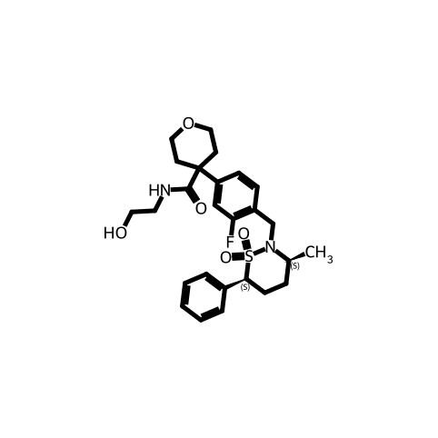 C[C@H]1CC[C@@H](c2ccccc2)S(=O)(=O)N1Cc1ccc(C2(C(=O)NCCO)CCOCC2)cc1F